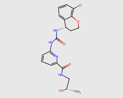 C[C@H](O)CNC(=O)c1cccc(NC(=O)N[C@H]2CCOc3c(Cl)cccc32)n1